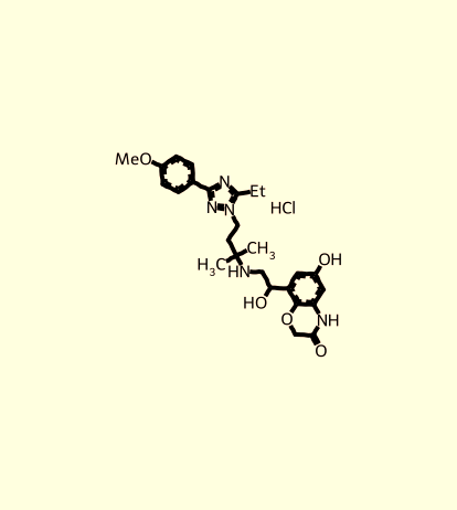 CCc1nc(-c2ccc(OC)cc2)nn1CCC(C)(C)NCC(O)c1cc(O)cc2c1OCC(=O)N2.Cl